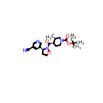 C[C@@H]1CN(C(=O)OC(C)(C)C)CC[C@H]1C(=O)N1OCC[C@H]1c1cncc(C#N)c1